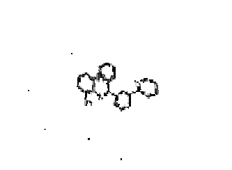 CC(C)c1cccc(C(C)C)c1N=C(c1ccccc1)c1cccc(-c2ccccn2)c1